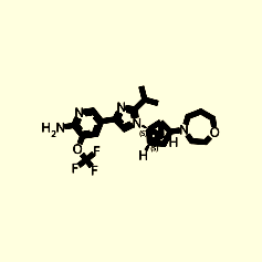 CC(C)c1nc(-c2cnc(N)c(OC(F)(F)F)c2)cn1[C@@]12C3C(N4CCCOCC4)C[C@H]1[C@@H]32